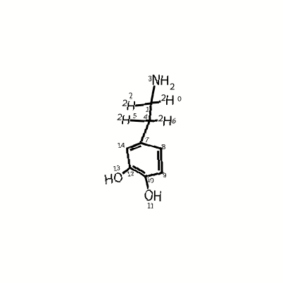 [2H]C([2H])(N)C([2H])([2H])c1ccc(O)c(O)c1